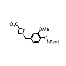 CCCCCOc1ccc(CN2CC(C(=O)O)C2)cc1OC